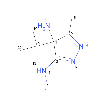 CNC1=NN=C(C)C1(N)C(C)(C)C